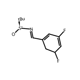 CC(C)(C)[S@+]([O-])N=CC1=CC(F)=CC(F)C1